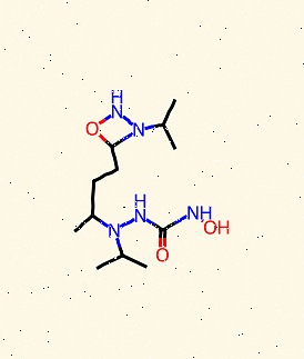 CC(C)N(NC(=O)NO)C(C)CCC1ONN1C(C)C